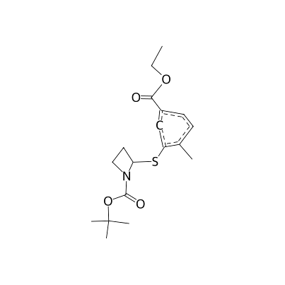 CCOC(=O)c1ccc(C)c(SC2CCN2C(=O)OC(C)(C)C)c1